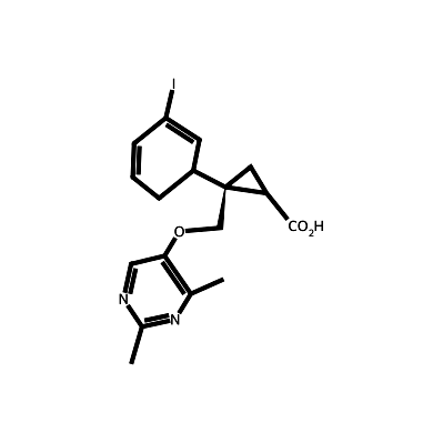 Cc1ncc(OC[C@@]2(C3C=C(I)C=CC3)CC2C(=O)O)c(C)n1